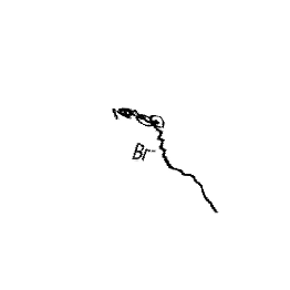 CCCCCCCCC=CCCCCCCCC(=O)OCn1cc[n+](C)c1.[Br-]